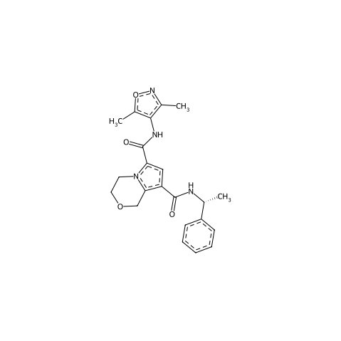 Cc1noc(C)c1NC(=O)c1cc(C(=O)N[C@H](C)c2ccccc2)c2n1CCOC2